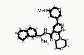 COc1cncc(-c2cc(C(=O)N[C@H](C)c3ccc4ccccc4c3)c(N3CCOCC3)nn2)c1